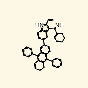 C=Cc1[nH]c2ccc(-c3ccc4c(-c5ccccc5)c5c(c(-c6ccccc6)c4c3)C=CCC5)cc2c1C(=N)C1=CC=CCC1